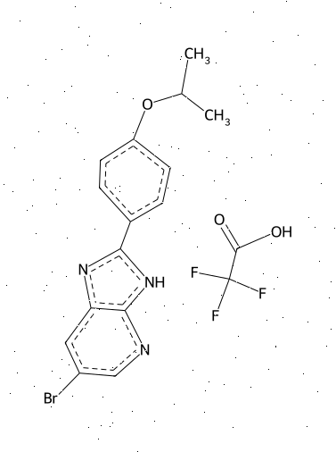 CC(C)Oc1ccc(-c2nc3cc(Br)cnc3[nH]2)cc1.O=C(O)C(F)(F)F